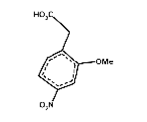 COc1cc([N+](=O)[O-])ccc1CC(=O)O